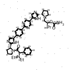 CCN(CC)[C@@H](C(=O)N1CCC[C@H]1c1ncc(-c2ccc(-c3ncc(-c4cnc([C@@H]5CCCN5C[C@@H](OC(N)=O)C(C)C)[nH]4)cn3)cc2)[nH]1)c1ccccc1